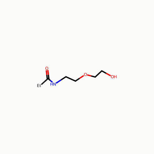 [CH2]CC(=O)NCCOCCO